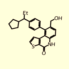 CCC(c1ccc(-c2c(CO)ccc3[nH]c(=O)c4sccc4c23)cc1)C1CCCC1